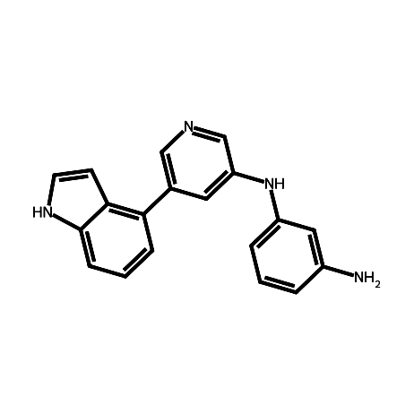 Nc1cccc(Nc2cncc(-c3cccc4[nH]ccc34)c2)c1